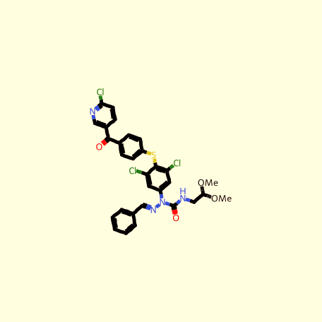 COC(CNC(=O)N(N=Cc1ccccc1)c1cc(Cl)c(Sc2ccc(C(=O)c3ccc(Cl)nc3)cc2)c(Cl)c1)OC